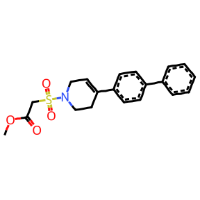 COC(=O)CS(=O)(=O)N1CC=C(c2ccc(-c3ccccc3)cc2)CC1